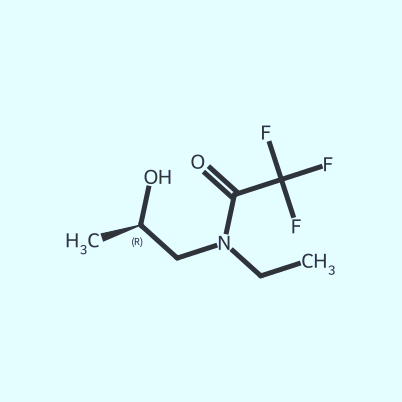 CCN(C[C@@H](C)O)C(=O)C(F)(F)F